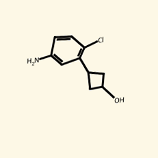 Nc1ccc(Cl)c(C2CC(O)C2)c1